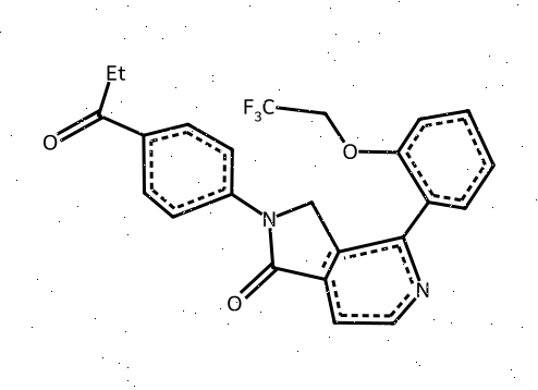 CCC(=O)c1ccc(N2Cc3c(ccnc3-c3ccccc3OCC(F)(F)F)C2=O)cc1